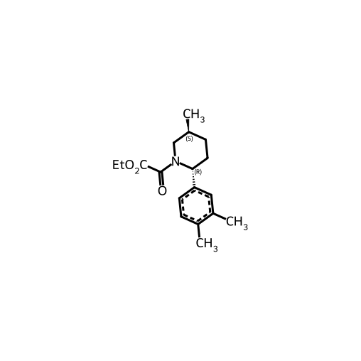 CCOC(=O)C(=O)N1C[C@@H](C)CC[C@@H]1c1ccc(C)c(C)c1